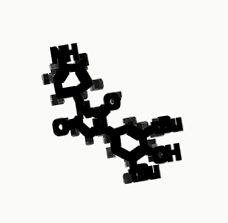 CC(C)(C)c1cc(N2CC(=O)N(c3ccc(N)cc3)C2=O)cc(C(C)(C)C)c1O